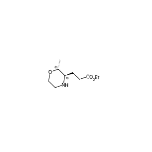 CCOC(=O)CC[C@H]1NCCO[C@@H]1C